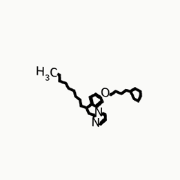 CCCCCCCCCC(Cc1ncccn1)c1ccc(OCCCCC2CCCCC2)cc1